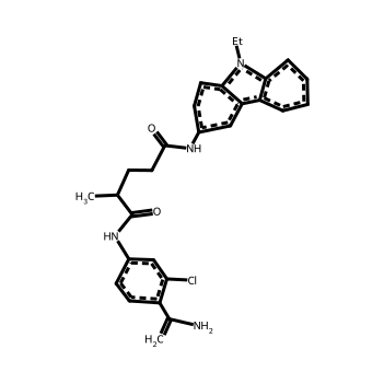 C=C(N)c1ccc(NC(=O)C(C)CCC(=O)Nc2ccc3c(c2)c2ccccc2n3CC)cc1Cl